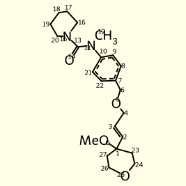 COC1(C=CCOCc2ccc(N(C)C(=O)N3CCCCC3)cc2)CCOCC1